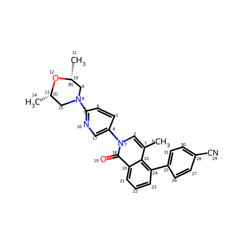 Cc1cn(-c2ccc(N3C[C@@H](C)O[C@@H](C)C3)nc2)c(=O)c2cccc(-c3ccc(C#N)cc3)c12